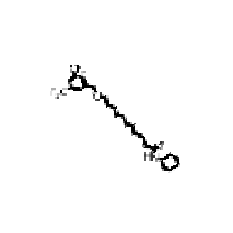 FC(F)(F)c1cc(COCCCCCCC=CC=CC(=S)NC2CCCCC2)cc(C(F)(F)F)c1